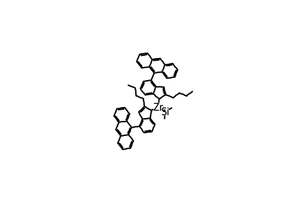 CCCCC1=Cc2c(-c3c4ccccc4cc4ccccc34)cccc2[CH]1[Zr]([CH]1C(CCCC)=Cc2c(-c3c4ccccc4cc4ccccc34)cccc21)=[Si](C)C